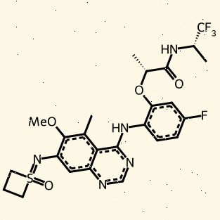 COc1c(N=S2(=O)CCC2)cc2ncnc(Nc3ccc(F)cc3O[C@H](C)C(=O)N[C@@H](C)C(F)(F)F)c2c1C